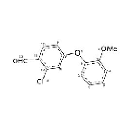 COc1ccccc1Oc1ccc(C=O)c(Cl)c1